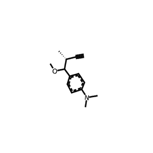 C#C[C@@H](C)C(OC)c1ccc(N(C)C)cc1